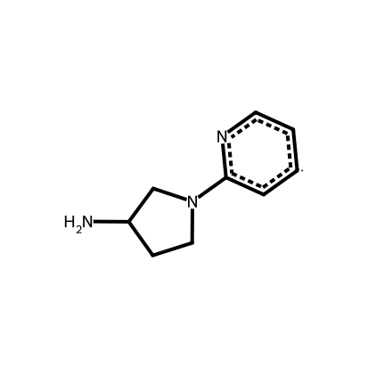 NC1CCN(c2c[c]ccn2)C1